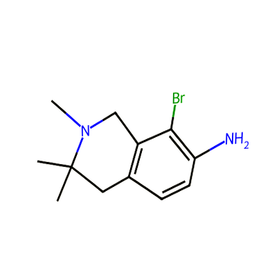 CN1Cc2c(ccc(N)c2Br)CC1(C)C